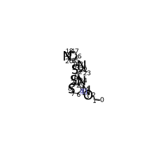 C=CCO/N=C1\CCSc2sc(-c3sc(-c4cccnc4)nc3C)nc21